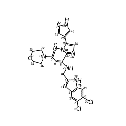 Clc1cc2nc(CNc3cc(N4CCOCC4)nn4c(-c5cn[nH]c5)cnc34)[nH]c2cc1Cl